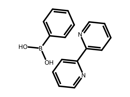 OB(O)c1ccccc1.c1ccc(-c2ccccn2)nc1